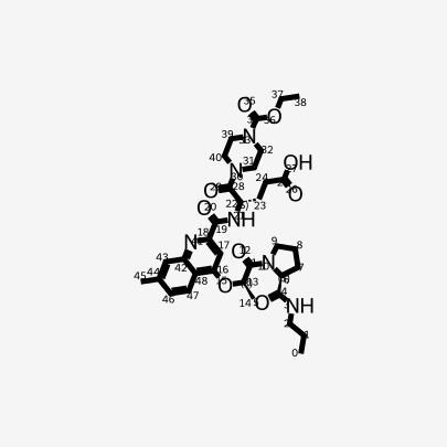 CCCNC(=O)[C@@H]1CCCN1C(=O)[C@@H](C)Oc1cc(C(=O)N[C@@H](CCC(=O)O)C(=O)N2CCN(C(=O)OCC)CC2)nc2cc(C)ccc12